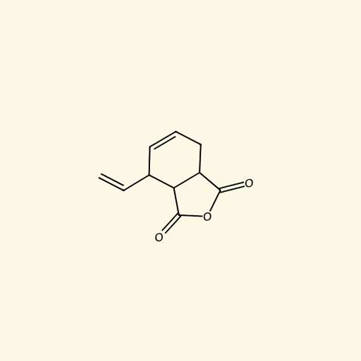 C=CC1C=CCC2C(=O)OC(=O)C12